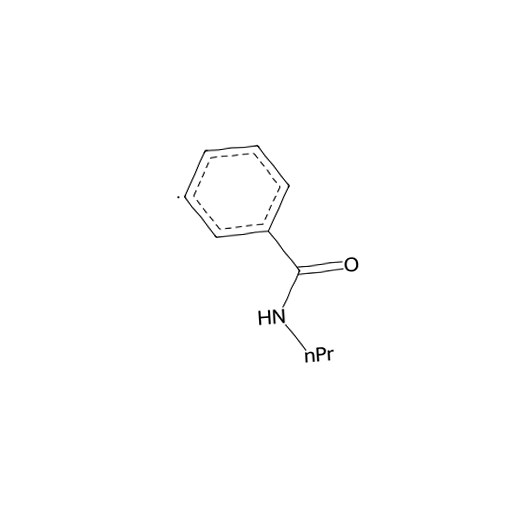 CCCNC(=O)c1c[c]ccc1